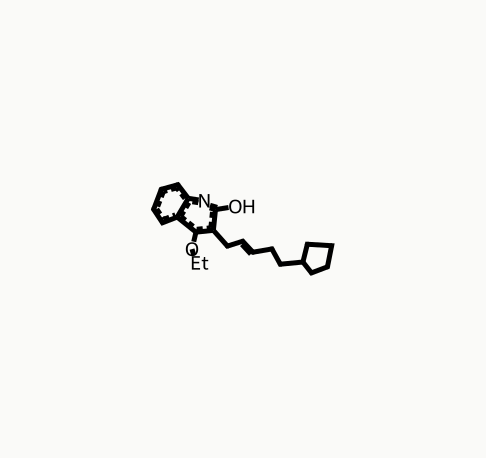 CCOc1c(C/C=C/CCC2CCCC2)c(O)nc2ccccc12